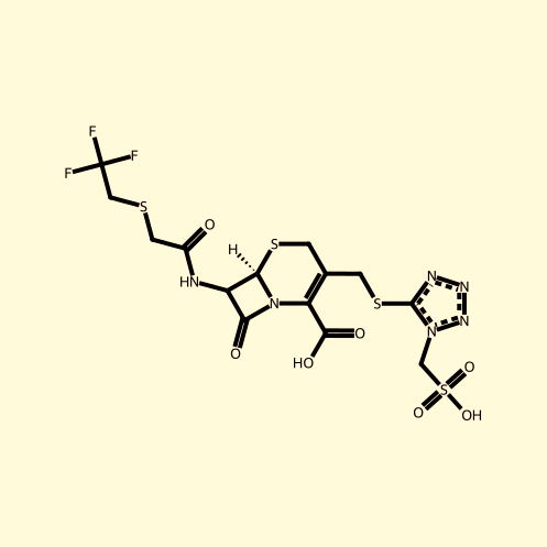 O=C(CSCC(F)(F)F)NC1C(=O)N2C(C(=O)O)=C(CSc3nnnn3CS(=O)(=O)O)CS[C@H]12